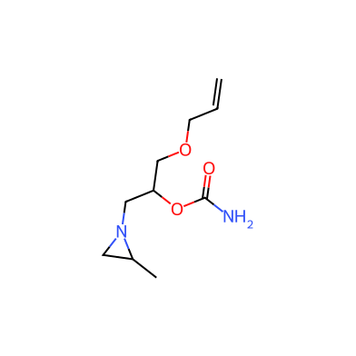 C=CCOCC(CN1CC1C)OC(N)=O